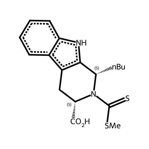 CCCC[C@H]1c2[nH]c3ccccc3c2C[C@@H](C(=O)O)N1C(=S)SC